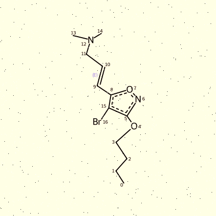 CCCCOc1noc(/C=C/CN(C)C)c1Br